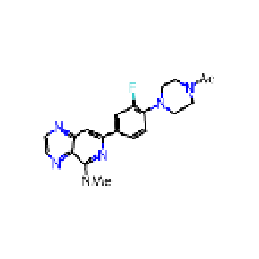 CNc1nc(-c2ccc(N3CCN(C(C)=O)CC3)c(F)c2)cc2nccnc12